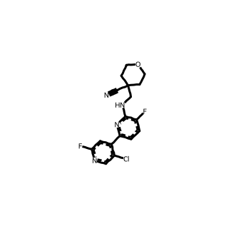 N#CC1(CNc2nc(-c3cc(F)ncc3Cl)ccc2F)CCOCC1